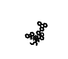 C=C/C(=C\C=C/C)c1nc(-c2cccc3c2sc2ccccc23)nc(-c2cccc3oc4c(-c5ccc6c7ccccc7c7ccccc7c6c5)cccc4c23)n1